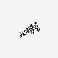 CCOc1ccc(C(F)(F)F)cc1-c1ncnc2c(C(=O)NC3CCN(C(C)=O)CC3)c(C)[nH]c12